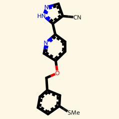 CSc1cccc(COc2ccc(-c3[nH]ncc3C#N)nc2)c1